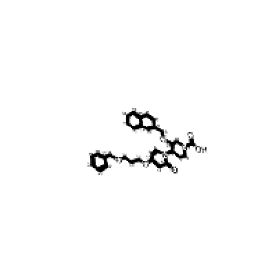 O=C(O)N1CCC(n2ccc(OCCCOCc3ccccc3)cc2=O)C(OCc2ccc3ccccc3c2)C1